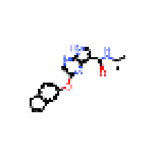 CC(C)NC(=O)c1c[nH]c2ncc(Oc3ccc4c(c3)C=CC4)nc12